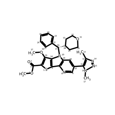 COC(=O)c1sc2c3ncc(-c4c(C)nnn4C)cc3n([C@H](c3ccccc3)C3CCOCC3)c2c1OC